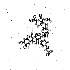 C[C@@H]1C(=O)N2C(C(=O)[O-])=CCS[C@@H]12.Cc1oc2cc(O)c(O)cc2c(=O)c1C(=O)NC(C(=O)NC1=CCNC=[C+]1)c1ccc(OCC(=O)[O-])cc1.[Na+]